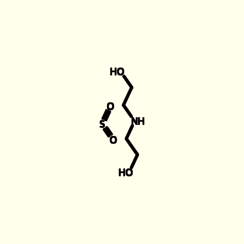 O=S=O.OCCNCCO